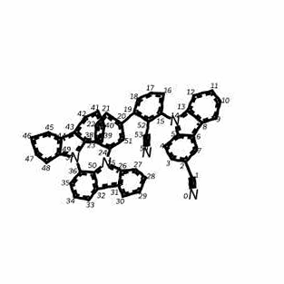 N#Cc1ccc2c(c1)c1ccccc1n2-c1cccc(-c2cccc(-n3c4ccccc4c4cccc(-n5c6ccccc6c6ccccc65)c43)c2)c1C#N